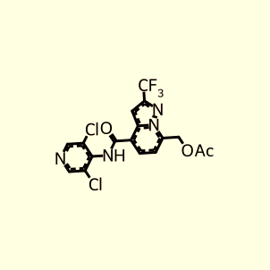 CC(=O)OCc1ccc(C(=O)Nc2c(Cl)cncc2Cl)c2cc(C(F)(F)F)nn12